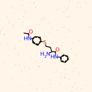 CC(=O)Nc1ccc(SCCC(N)C(=O)Nc2ccccc2)cc1